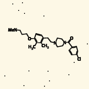 CNCCCOc1ccc(CCN2CCN(C(=O)c3ccc(Cl)cc3)CC2)c(C)c1C